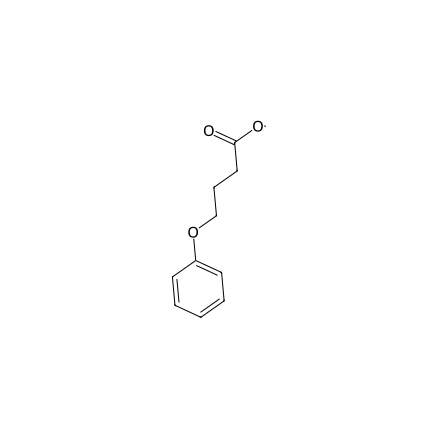 [O]C(=O)CCCOc1ccccc1